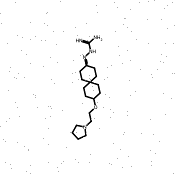 N=C(N)NN=C1CCC2(CC1)CCC(OCCN1CCCC1)CC2